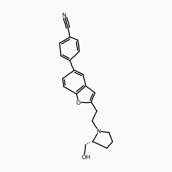 N#Cc1ccc(-c2ccc3oc(CCN4CCC[C@@H]4CO)cc3c2)cc1